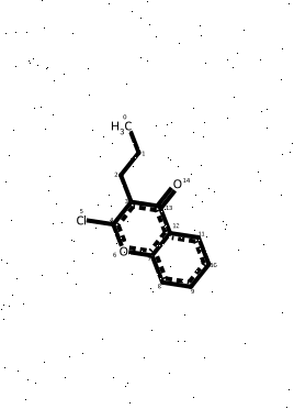 CCCc1c(Cl)oc2ccccc2c1=O